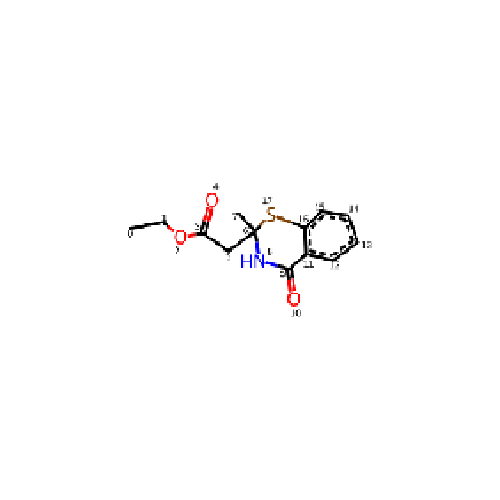 CCOC(=O)CC1(C)NC(=O)c2ccccc2S1